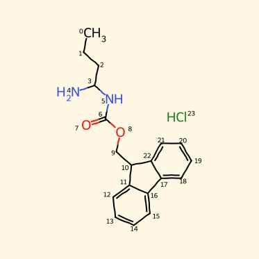 CCCC(N)NC(=O)OCC1c2ccccc2-c2ccccc21.Cl